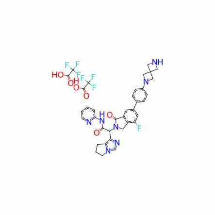 O=C(Nc1ccccn1)C(c1ncn2c1CCC2)N1Cc2c(F)cc(-c3ccc(N4CC5(CNC5)C4)cc3)cc2C1=O.O=C(O)C(F)(F)F.O=C(O)C(F)(F)F